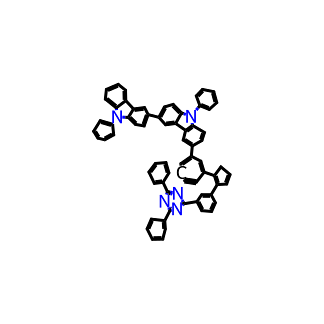 C1#CC(C2=C(c3cccc(-c4nc(-c5ccccc5)nc(-c5ccccc5)n4)c3)C=CC2)=CC(c2ccc3c(c2)c2cc(-c4ccc5c(c4)c4ccccc4n5-c4ccccc4)ccc2n3-c2ccccc2)=CC1